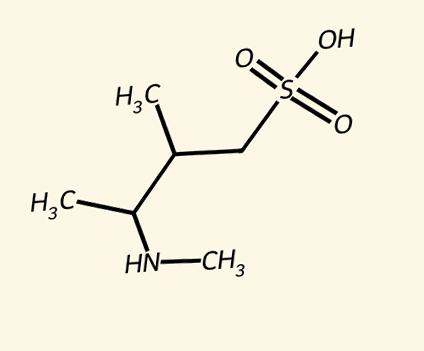 CNC(C)C(C)CS(=O)(=O)O